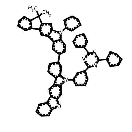 CC1(C)c2ccccc2-c2cc3c4cc(-c5ccc6c7cc8c(cc7n(-c7cccc(-c9nc(-c%10ccccc%10)nc(-c%10ccccc%10)n9)c7)c6c5)oc5ccccc58)ccc4n(-c4ccccc4)c3cc21